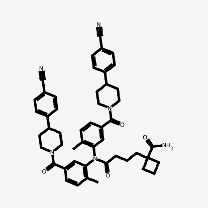 Cc1ccc(C(=O)N2CCC(c3ccc(C#N)cc3)CC2)cc1N(C(=O)CCCC1(C(N)=O)CCC1)c1cc(C(=O)N2CCC(c3ccc(C#N)cc3)CC2)ccc1C